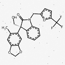 Cc1cc2c(cc1[C@@]1(CO)C(=O)N(Cc3ccc(C(F)(F)F)o3)c3ccccc31)OCO2